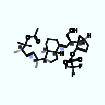 CC(=O)OC(C)(C)[C@@H](C)/C=C/[C@@H](C)[C@H]1CC[C@H]2/C(=C/[C@@H](CO)[C@]34C[C@H]3CC=C4OS(=O)(=O)C(F)(F)F)CCC[C@]12C